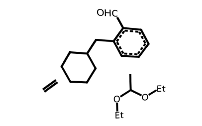 C=C.CCOC(C)OCC.O=Cc1ccccc1CC1CCCCC1